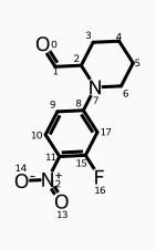 O=CC1CCCCN1c1ccc([N+](=O)[O-])c(F)c1